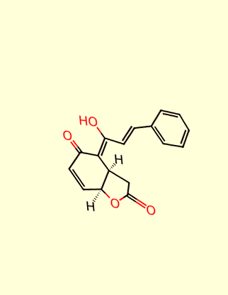 O=C1C[C@@H]2/C(=C(O)\C=C\c3ccccc3)C(=O)C=C[C@@H]2O1